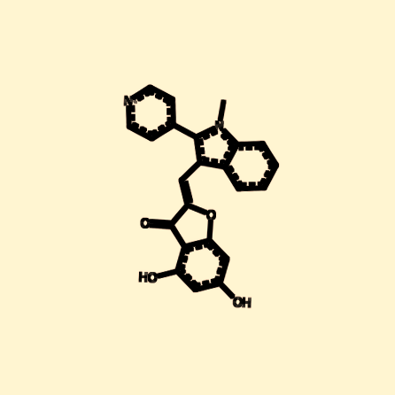 Cn1c(-c2ccncc2)c(/C=C2\Oc3cc(O)cc(O)c3C2=O)c2ccccc21